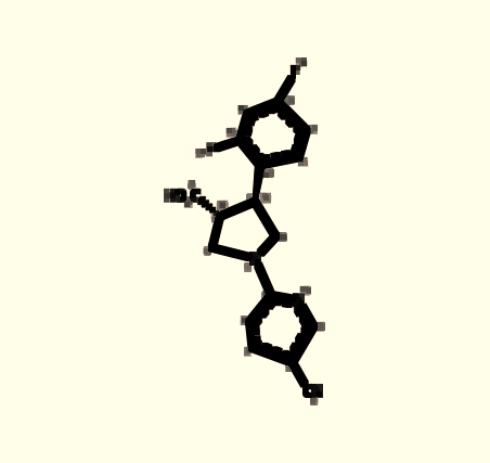 N#Cc1ccc(N2C[C@H](C(=O)O)[C@@H](c3ccc(F)cc3F)C2)nc1